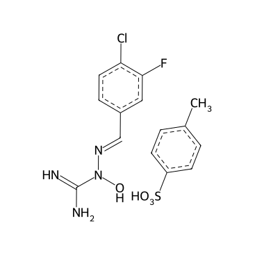 Cc1ccc(S(=O)(=O)O)cc1.N=C(N)N(O)/N=C/c1ccc(Cl)c(F)c1